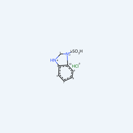 Cl.O=S(=O)(O)N1CNc2ccccc21